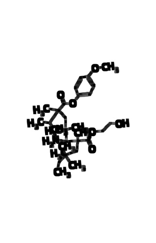 CCC(C)(C)CC(C)(C(=O)OCCO)C(C)(N)C(C)(C)CC(C)(C(=O)Oc1ccc(OC)cc1)C(C)C